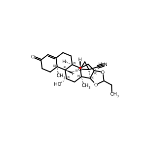 CCC1O[C@@H]2C[C@H]3[C@@H]4CCC5=CC(=O)CC[C@]5(C)[C@@]4(F)[C@@H](O)C[C@]3(C)[C@]2(C2(C#N)CO2)O1